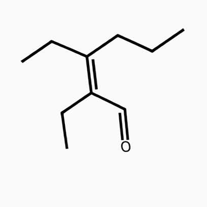 CCCC(CC)=C(C=O)CC